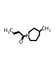 CC=CC(=O)N1CCCC(C)CC1